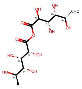 C[C@@H](O)[C@@H](O)[C@H](O)[C@@H](O)C(=O)OC(=O)[C@@H](O)[C@@H](O)[C@H](O)[C@@H](O)C=O